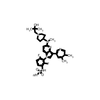 CCCS(=O)(=O)Nc1ccc(F)c(-n2cc(C3=CN=CC(C)C(C)=C3)c3nc(N(C)C4CCN(CC(C)(C)O)CC4)ccc32)c1F